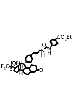 CCOC(=O)c1ccc(NC(=O)NCC=Cc2ccc([C@H]3C[C@@]4(C)[C@@H](CC[C@@]4(O)C(F)(F)C(F)(F)F)[C@@H]4CCC5=CC(=O)CCC5=C43)cc2)cc1